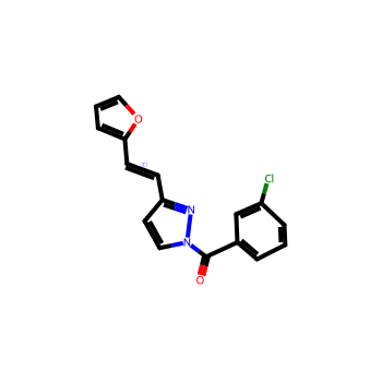 O=C(c1cccc(Cl)c1)n1ccc(/C=C/c2ccco2)n1